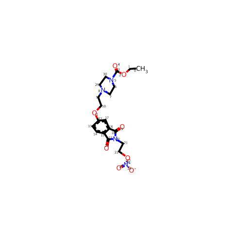 CCOC(=O)N1CCN(CCOc2ccc3c(c2)C(=O)N(CCO[N+](=O)[O-])C3=O)CC1